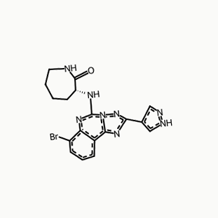 O=C1NCCCC[C@H]1Nc1nc2c(Br)cccc2c2nc(-c3cn[nH]c3)nn12